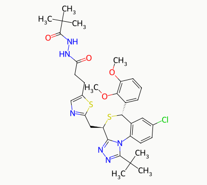 COc1cccc([C@H]2S[C@H](Cc3ncc(CCC(=O)NNC(=O)C(C)(C)C)s3)c3nnc(C(C)(C)C)n3-c3ccc(Cl)cc32)c1OC